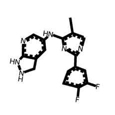 Cc1cnc(-c2ccc(F)c(F)c2)nc1Nc1cnc2c(c1)CNN2